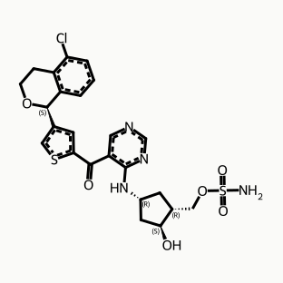 NS(=O)(=O)OC[C@H]1C[C@@H](Nc2ncncc2C(=O)c2cc([C@H]3OCCc4c(Cl)cccc43)cs2)C[C@@H]1O